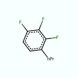 CCCc1ccc(F)c(F)c1F